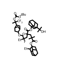 CCC1C2CC3CC(C2)CC1(OC(=O)C(C)(C)CC(C)(CC(F)(CC)C(=O)OC1CC2CC1CC2C(C)(OC(=O)OC(C)(C)C)C(F)(F)F)C(=O)OC12CC4CC(C1)CC(C(C)(C)O)(C4)C2)C3